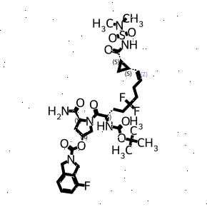 CN(C)S(=O)(=O)NC(=O)[C@H]1C[C@H]1/C=C\CCC(F)(F)CC[C@H](NC(=O)OC(C)(C)C)C(=O)N1C[C@H](OC(=O)N2Cc3cccc(F)c3C2)C[C@H]1C(N)=O